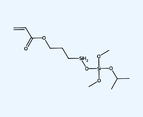 C=CC(=O)OCCC[SiH2]O[Si](OC)(OC)OC(C)C